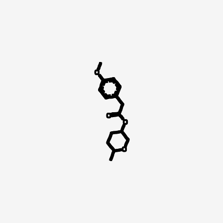 COc1ccc(CC(=O)OC2CCC(C)OC2)cc1